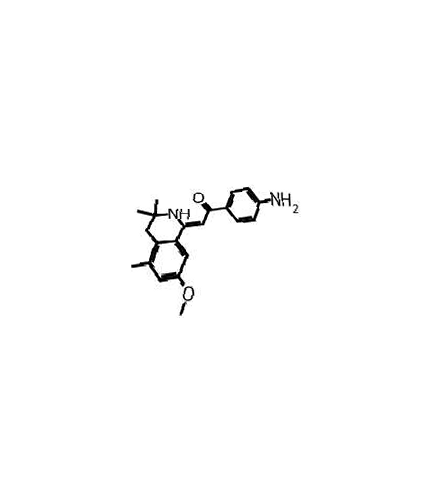 COc1cc(C)c2c(c1)C(=CC(=O)c1ccc(N)cc1)NC(C)(C)C2